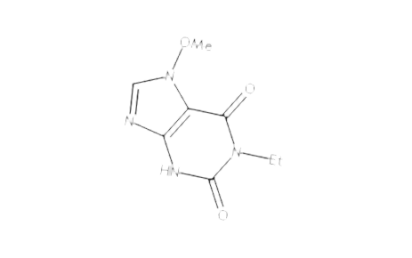 CCn1c(=O)[nH]c2ncn(OC)c2c1=O